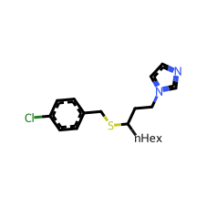 CCCCCCC(CCn1ccnc1)SCc1ccc(Cl)cc1